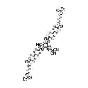 CCC(=O)OCCCCOC(=O)C1CCC(C2CCC(C(=O)Oc3cc(O)c(OC(=O)C4CCC(C5CCC(C(=O)OCCCCOC(=O)CC)CC5)CC4)c4c3SC(=C(C#N)C#N)S4)CC2)CC1